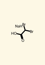 O=C(O)C(Br)Br.[NaH]